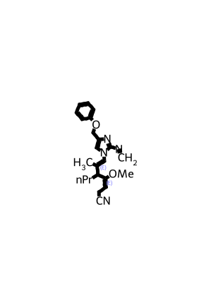 C=Nc1nc(COc2ccccc2)cn1/C=C(\C)C(CCC)/C(=C\CC#N)OC